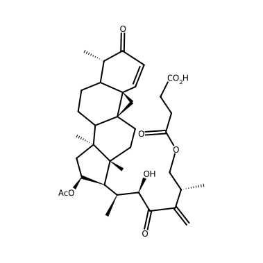 C=C(C(=O)[C@H](O)[C@@H](C)[C@H]1[C@@H](OC(C)=O)C[C@@]2(C)C3CCC4[C@H](C)C(=O)C=C[C@@]45C[C@@]35CC[C@]12C)[C@@H](C)COC(=O)CCC(=O)O